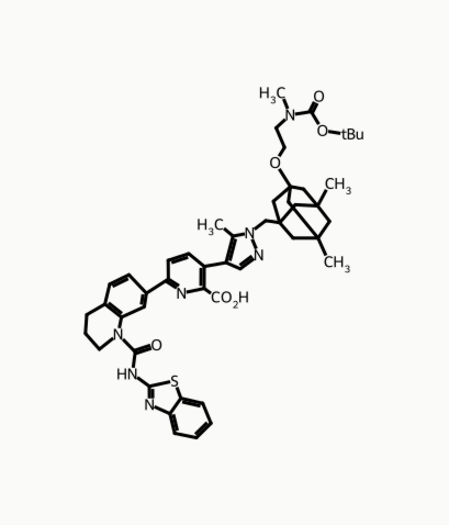 Cc1c(-c2ccc(-c3ccc4c(c3)N(C(=O)Nc3nc5ccccc5s3)CCC4)nc2C(=O)O)cnn1CC12CC3(C)CC(C)(C1)CC(OCCN(C)C(=O)OC(C)(C)C)(C3)C2